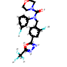 O=C(N1CCOCC1)N(Cc1ccc(-c2nnc(C(F)(F)F)o2)cc1F)c1cccc(F)c1